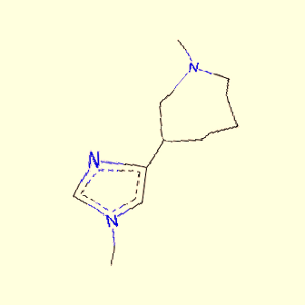 CN1CCCC(c2cn(C)cn2)C1